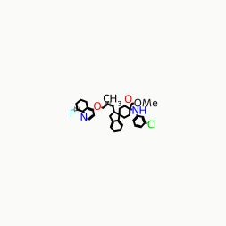 COC(=O)C1(Nc2cccc(Cl)c2)CCC2(CC1)c1ccccc1CC2C[C@@H](C)COc1ccnc2c1CCC[C@@H]2F